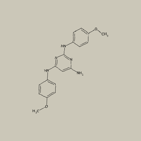 COc1ccc(Nc2cc(N)nc(Nc3ccc(OC)cc3)n2)cc1